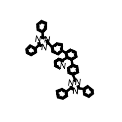 c1ccc(-c2nc(-c3ccccc3)nc(-c3ccc(-c4cccc(-c5ccc(-c6nc(-c7ccccc7)nc(-c7ccccc7)n6)cc5)c4-c4ccccn4)cc3)n2)cc1